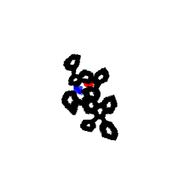 c1ccc(-c2ccc(N(c3ccccc3-c3ccc4c(c3)c(-c3ccccc3)c(-c3ccccc3)c3ccccc34)c3cccc4c3oc3ccccc34)c3ccccc23)cc1